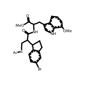 COC(=O)C(Cc1c[nH]c2c(OC)cccc12)NC(=O)C(CSC(C)=O)C1CCc2cc(Br)ccc21